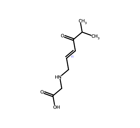 CC(C)C(=O)/C=C/CNCC(=O)O